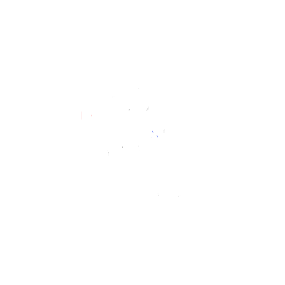 CCC1(C)CN(Cc2ccccc2)CC(C)C1O